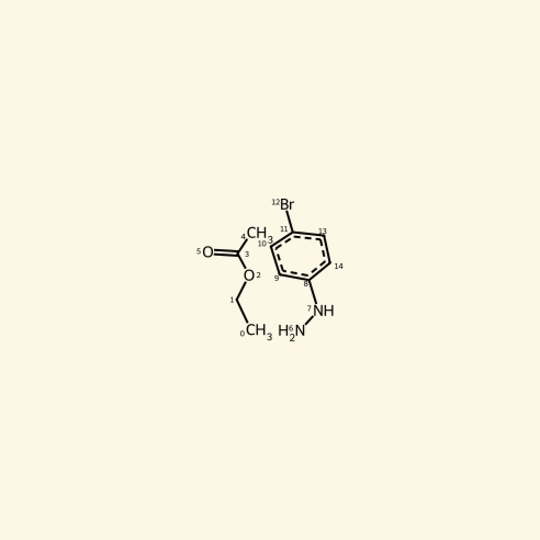 CCOC(C)=O.NNc1ccc(Br)cc1